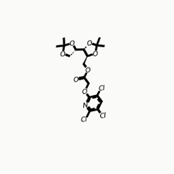 CC1(C)OC[C@@H]([C@@H]2OC(C)(C)O[C@H]2COC(=O)COc2nc(Cl)c(Cl)cc2Cl)O1